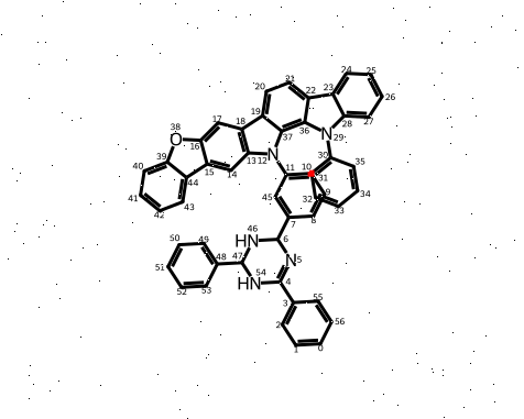 c1ccc(C2=NC(c3cccc(-n4c5cc6c(cc5c5ccc7c8ccccc8n(-c8ccccc8)c7c54)oc4ccccc46)c3)NC(c3ccccc3)N2)cc1